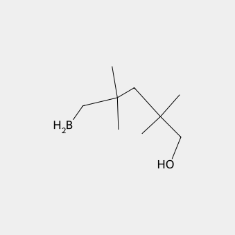 BCC(C)(C)CC(C)(C)CO